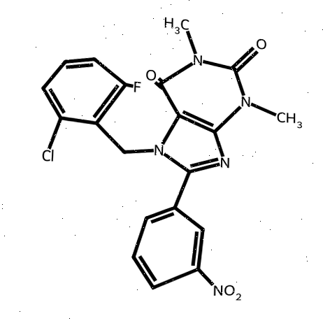 Cn1c(=O)c2c(nc(-c3cccc([N+](=O)[O-])c3)n2Cc2c(F)cccc2Cl)n(C)c1=O